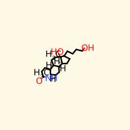 C[C@]12CCC(=O)N[C@@H]1CC[C@@H]1[C@@H]2CC[C@@]2(C)[C@H]1CC[C@@]2(O)CCCCO